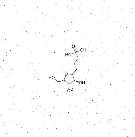 O=P(O)(O)CCC[C@@H]1O[C@H](CO)[C@@H](O)[C@@H]1O